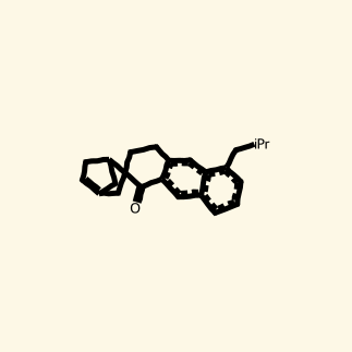 CC(C)Cc1cccc2cc3c(cc12)CCC1(CC2=CCC1C2)C3=O